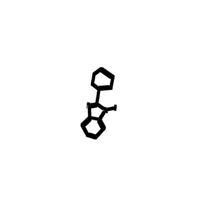 In1c(C2=CC=CCC2)nc2ccccc21